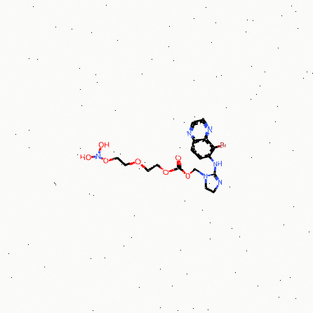 O=C(OCCOCCON(O)O)OCN1CCN=C1Nc1ccc2nccnc2c1Br